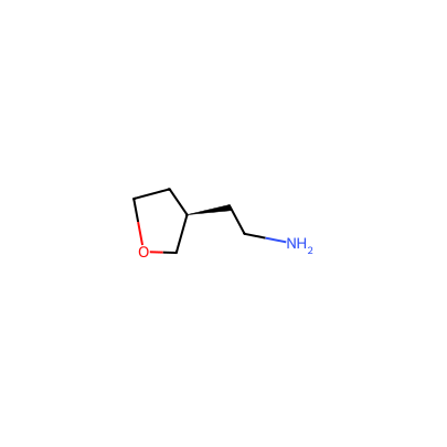 NCC[C@@H]1CCOC1